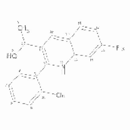 CC(O)C1=C(c2ccccc2Cl)NC2C=C(F)C=CC2=C1